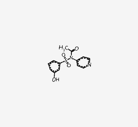 CC(=O)N(c1ccncc1)S(=O)(=O)c1cccc(O)c1